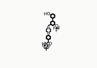 CC(C)(C)S(=O)(=O)NC(=O)c1ccc(N2CCN(Cc3cc(OC(F)(F)F)cc(-c4cccc(O)c4)c3)CC2)cc1